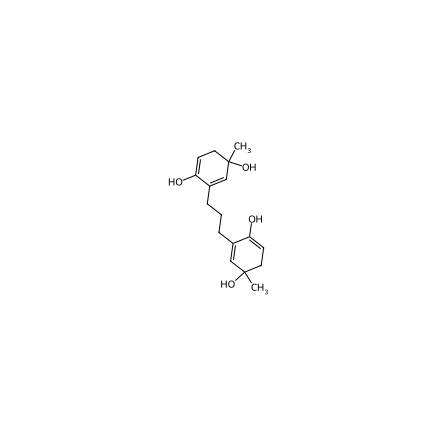 CC1(O)C=C(CCCC2=CC(C)(O)CC=C2O)C(O)=CC1